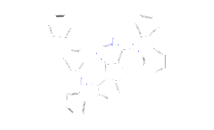 c1ccc(-c2ccc(-n3c4ccccc4c4ccc5sc6c(-n7c8ccccc8c8ccccc87)ncnc6c5c43)cc2)cc1